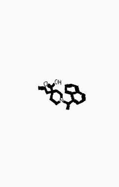 C=CCC1(C(=O)O)CCN(C(C)c2cccc3ccccc23)CC1